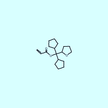 C=CC(=O)OC(C1CCCC1)(C1CCCC1)C1CCCO1